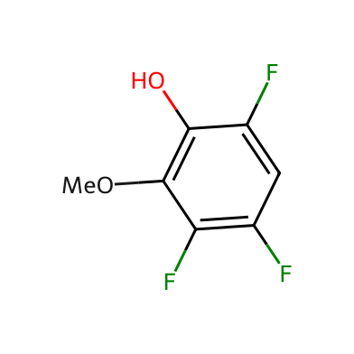 COc1c(O)c(F)cc(F)c1F